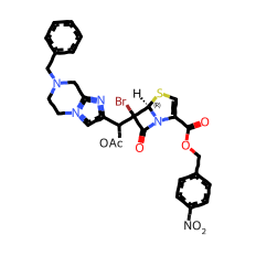 CC(=O)OC(c1cn2c(n1)CN(Cc1ccccc1)CC2)C1(Br)C(=O)N2C(C(=O)OCc3ccc([N+](=O)[O-])cc3)=CS[C@@H]21